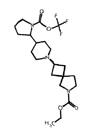 CCOC(=O)N1CCC2(CC(N3CCC(C4CCCN4C(=O)OC(F)(F)F)CC3)C2)C1